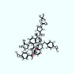 COc1ccc(CN(Cc2ccc(OC)cc2)S(=O)(=O)c2c(S(=O)(=O)NC3CCN(C(=O)OC(C)(C)C)C3)ccc(N3CCNC3=S)c2-c2nnn(Cc3ccc(OC)cc3)n2)cc1